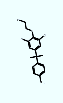 CC(C)(c1ccc(N)cc1)c1cc(Cl)c(OCCCl)c(Cl)c1